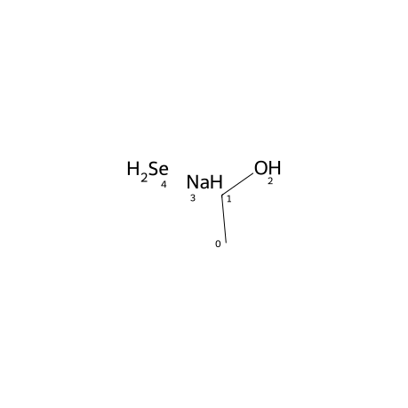 CCO.[NaH].[SeH2]